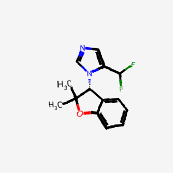 CC1(C)Oc2ccccc2[C@H]1n1cncc1C(F)F